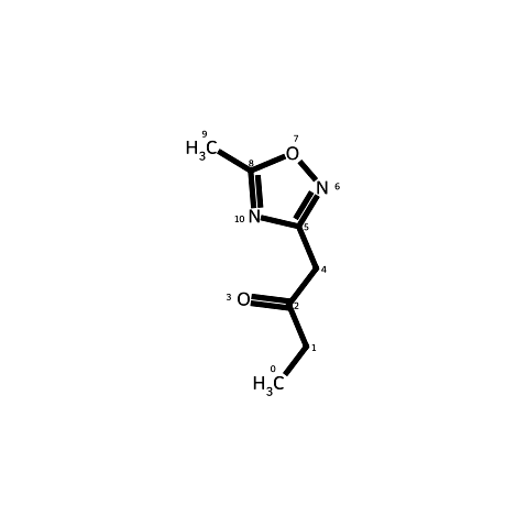 CCC(=O)Cc1noc(C)n1